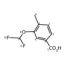 Cc1ccc(C(=O)O)cc1OC(F)F